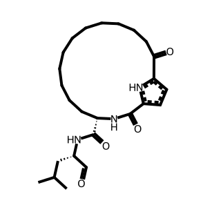 CC(C)C[C@@H](C=O)NC(=O)[C@@H]1CCCCCCCCCCCC(=O)c2ccc([nH]2)C(=O)N1